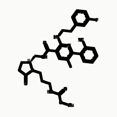 Cc1cc(C(=O)NC[C@H]2CCC(=O)N2CCCNC(=O)OC(C)(C)C)c(NCCc2cccc(F)c2)nc1-c1ccccc1C#N